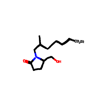 CCOC(=O)CCCCC(C)CN1C(=O)CCC1CO